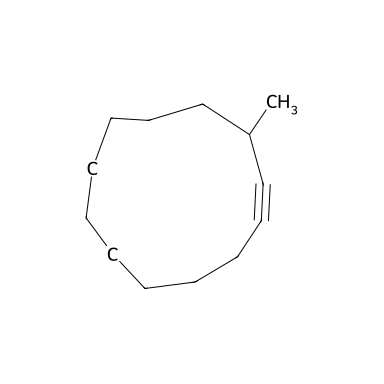 CC1C#CCCCCCCCCC1